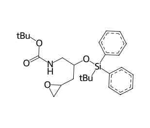 CC(C)(C)OC(=O)NCC(CC1CO1)O[Si](c1ccccc1)(c1ccccc1)C(C)(C)C